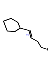 FCC/C=C/C1CCCCC1